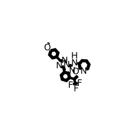 C=C(c1cccc2c1nc(Nc1ccccnc1=O)n1nc(-c3ccc(OC)cc3)nc21)C(F)(F)F